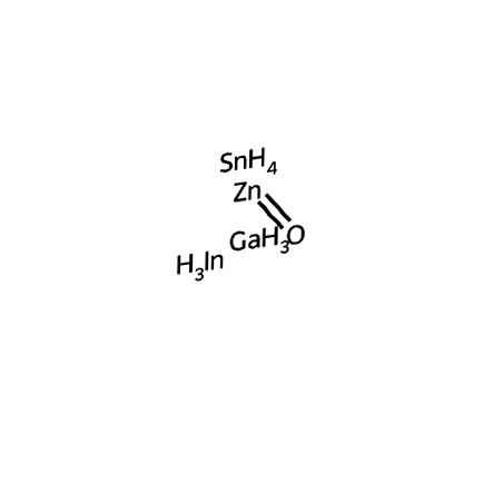 [GaH3].[InH3].[O]=[Zn].[SnH4]